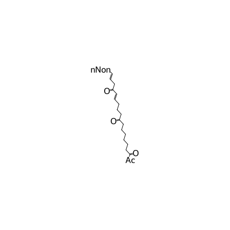 CCCCCCCCCC=CCC(=O)C=CCCCC(=O)CCCCCCC(=O)C(C)=O